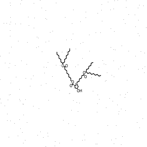 CCCCCCCCC(CCCCCC)OC(=O)CCCCCCCOC(=O)[C@@H]1CC(O)CN1CCCCCC(=O)OC(CCCCCC)CCCCCCCC